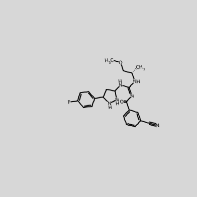 COC[C@H](C)N/C(=N/C(=O)c1cccc(C#N)c1)NC1CC(c2ccc(F)cc2)NN1